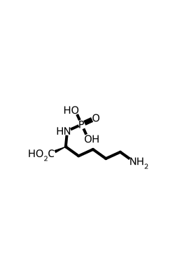 NCCCC[C@H](NP(=O)(O)O)C(=O)O